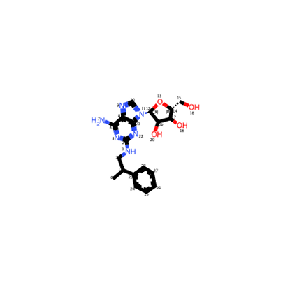 CC(CNc1nc(N)c2ncn([C@@H]3O[C@H](CO)C(O)C3O)c2n1)c1ccccc1